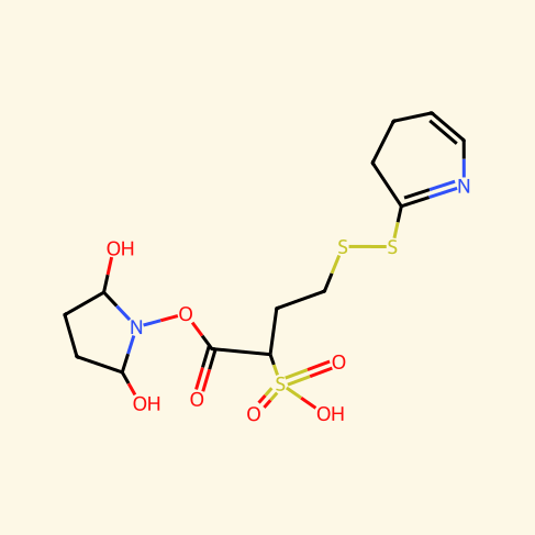 O=C(ON1C(O)CCC1O)C(CCSSC1=NC=CCC1)S(=O)(=O)O